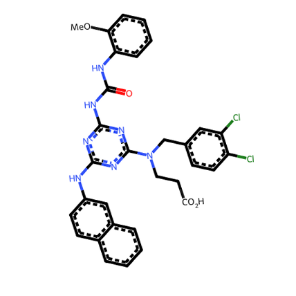 COc1ccccc1NC(=O)Nc1nc(Nc2ccc3ccccc3c2)nc(N(CCC(=O)O)Cc2ccc(Cl)c(Cl)c2)n1